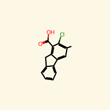 Cc1cc2c(c(C(=O)O)c1Cl)Cc1ccccc1-2